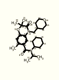 Cc1cc2c(cc1C(=O)N(C(C)C)C1CCCCC1)N(CC1CCOCC1)C(=O)C(C)(C)O2